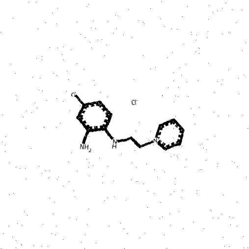 Nc1cc(Cl)ccc1NCC[n+]1ccccc1.[Cl-]